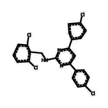 Clc1ccc(-c2cc(-c3ccc(Cl)cc3)nc(NCc3c(Cl)cccc3Cl)n2)cc1